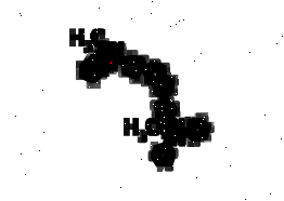 CC1C2C(c3ccccc3)=NC(c3ccccc3)=NC12c1ccc(-c2ccc3ccc(-c4ccc(C5=NC6(c7ccccc7)C(C)C6C(c6ccccc6)N5)cc4)cc3c2)cc1